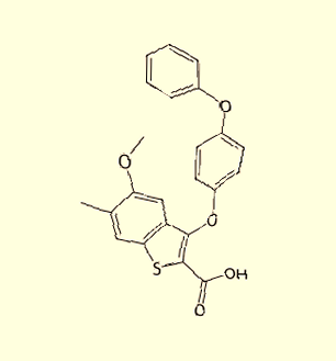 COc1cc2c(Oc3ccc(Oc4ccccc4)cc3)c(C(=O)O)sc2cc1C